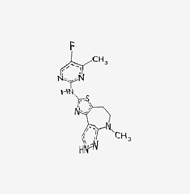 Cc1nc(Nc2nc3c(s2)CCN(C)c2n[nH]cc2-3)ncc1F